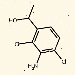 CC(O)c1ccc(Cl)c(N)c1Cl